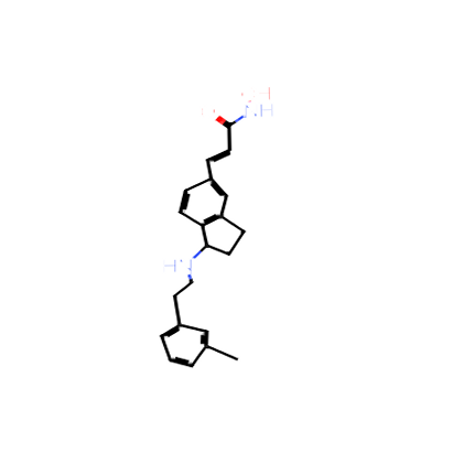 Cc1cccc(CCNC2CCc3cc(C=CC(=O)NO)ccc32)c1